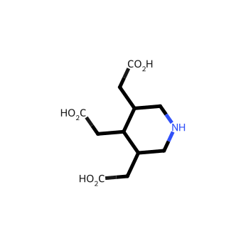 O=C(O)CC1CNCC(CC(=O)O)C1CC(=O)O